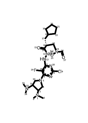 CN(C)C1CN(c2nc(Cl)nc(NNC(=O)[C@H](CC3CCCC3)CN(O)C=O)c2F)CC1N(C)C